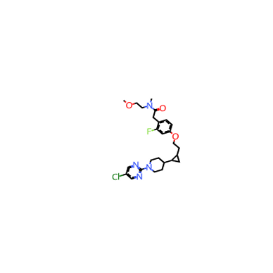 COCCN(C)C(=O)Cc1ccc(OCCC2CC2C2CCN(c3ncc(Cl)cn3)CC2)cc1F